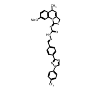 COc1ccc2c(c1)N1C(=CC2C)CS/C1=N\C(=O)N/N=C/c1ccc(-c2ncn(-c3ccc(C(F)(F)F)cc3)n2)cc1